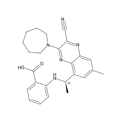 Cc1cc([C@@H](C)Nc2ccccc2C(=O)O)c2nc(N3CCCCCC3)c(C#N)nc2c1